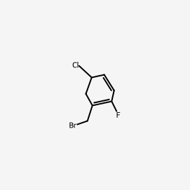 FC1=C(CBr)CC(Cl)C=C1